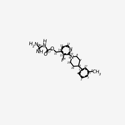 Cc1cccc(C2CCN(c3nccc(COC(=O)NC(=N)N)c3F)CC2)c1